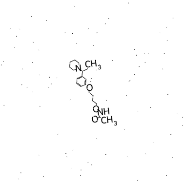 CCC(c1cccc(OCCCCONC(C)=O)c1)N1CCCCC1